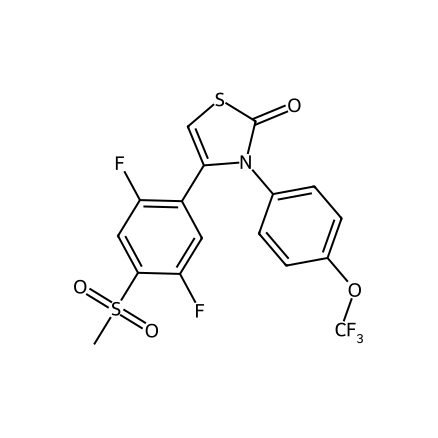 CS(=O)(=O)c1cc(F)c(-c2csc(=O)n2-c2ccc(OC(F)(F)F)cc2)cc1F